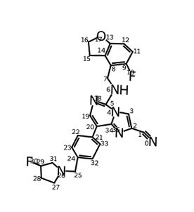 N#Cc1cn2c(NCc3c(F)ccc4c3CCO4)ncc(-c3ccc(CN4CCC(F)C4)cc3)c2n1